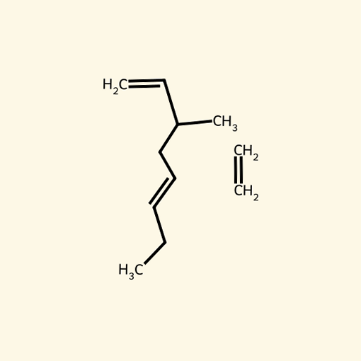 C=C.C=CC(C)CC=CCC